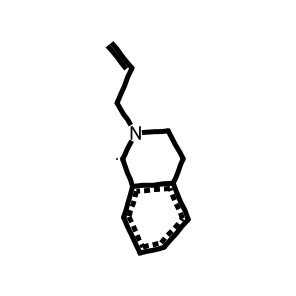 C=CCN1[CH]c2ccccc2CC1